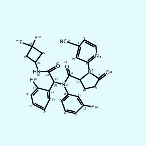 N#Cc1ccnc(N2C(=O)CCC2C(=O)N(c2cccc(F)c2)[C@H](C(=O)NC2CC(F)(F)C2)c2ccccc2F)c1